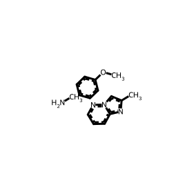 CN.COc1ccccc1.Cc1cn2ncccc2n1